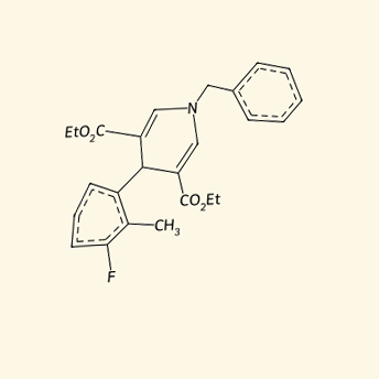 CCOC(=O)C1=CN(Cc2ccccc2)C=C(C(=O)OCC)C1c1cccc(F)c1C